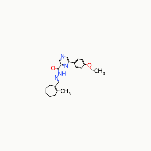 CCOc1ccc(-c2cncc(C(=O)NN=CC3=C(C)CCCCC3)n2)cc1